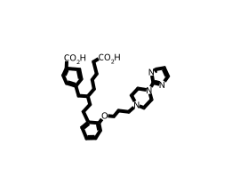 O=C(O)CCCCC(CCc1ccccc1OCCCN1CCN(c2ncccn2)CC1)Cc1ccc(C(=O)O)cc1